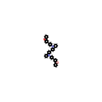 C1=CC2c3ccc(-c4ccc5c6ccccc6n(-c6ccc(-c7ccc8oc9ccccc9c8c7)cc6)c5c4)cc3N(c3ccc(-c4ccc5oc6ccccc6c5c4)cc3)C2C=C1